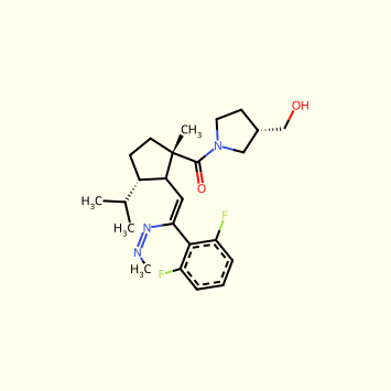 C/N=N\C(=C/C1[C@H](C(C)C)CC[C@]1(C)C(=O)N1CC[C@H](CO)C1)c1c(F)cccc1F